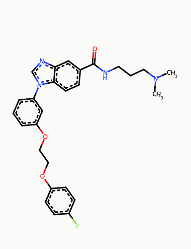 CN(C)CCCNC(=O)c1ccc2c(c1)ncn2-c1cccc(OCCOc2ccc(F)cc2)c1